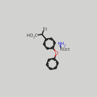 CCC(C(=O)O)c1ccc(Oc2ccccc2)cc1.CCCCCCCCN